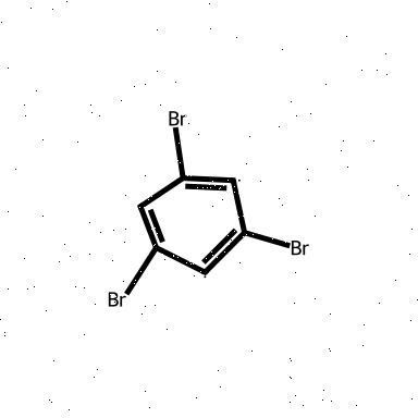 Brc1[c]c(Br)cc(Br)[c]1